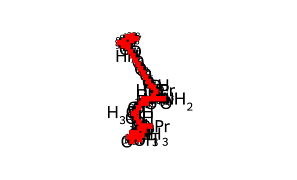 CCCC1O[C@@H]2C[C@H]3[C@@H]4CCC5=CC(=O)C=C[C@]5(C)[C@H]4[C@@H](O)C[C@]3(C)[C@]2(C(=O)CCOCNC(=O)[C@H](C)NC(=O)OCc2ccc(NC(=O)[C@H](CCCNC(N)=O)NC(=O)[C@@H](NC(=O)CCOCCOCCOCCOCCNC(=O)CCC(=O)N3Cc4ccccc4C#Cc4ccccc43)C(C)C)cc2)O1